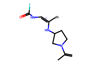 C=C(C)N1CCC(N/C(=C\NC(=O)F)C(C)C)C1